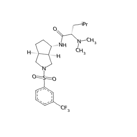 CC(C)C[C@@H](C(=O)N[C@H]1CC[C@@H]2CN(S(=O)(=O)c3cccc(C(F)(F)F)c3)C[C@@H]21)N(C)C